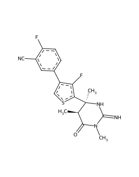 C[C@@H]1C(=O)N(C)C(=N)N[C@]1(C)c1scc(-c2ccc(F)c(C#N)c2)c1F